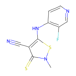 Cn1sc(Nc2ccncc2F)c(C#N)c1=S